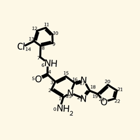 Nc1cc(C(=O)NCc2ccccc2Cl)cc2nc(-c3ccco3)nn12